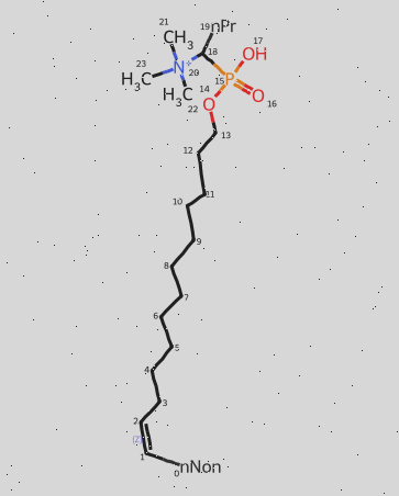 CCCCCCCCC/C=C\CCCCCCCCCCCOP(=O)(O)C(CCC)[N+](C)(C)C